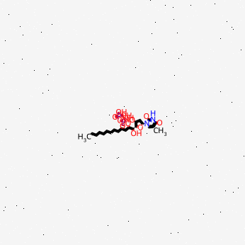 CCCCCCCCCCCC(OP(=O)(O)OP(=O)(O)O)C(O)[C@H]1O[C@@H](n2cc(C)c(=O)[nH]c2=O)C[C@@H]1O